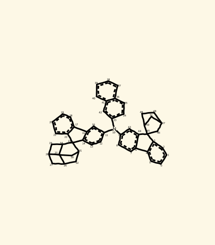 c1ccc2c(c1)-c1ccc(N(c3ccc4c(c3)-c3ccccc3C43C4CC5CC(C4)CC3C5)c3ccc4ccccc4c3)cc1C21CC2CCC1C2